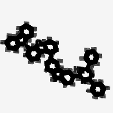 C1=c2sc3ccc(-c4cccc5oc6c(-n7c8ccccc8c8ccccc87)cccc6c45)cc3c2=CC(C2N=C(c3ccccc3)N=C(c3ccccc3)N2)C1